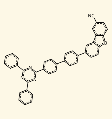 N#Cc1ccc2oc3ccc(-c4ccc(-c5ccc(-c6nc(-c7ccccc7)nc(-c7ccccc7)n6)cc5)cc4)cc3c2c1